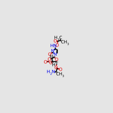 CC(C)C(=O)ONc1ccn([C@@H]2O[C@H](COC(=O)[C@@H](C)N)[C@H]3OC(=O)O[C@H]32)c(=O)n1